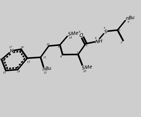 CCCCC(C)SNC(=O)C(CC(CC(CCCC)c1cccnc1)SC)SC